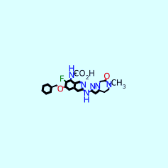 CN1CCc2cc(Nc3cc4cc(OCc5ccccc5)c(F)c(NC(=O)O)c4cn3)nn2CC1=O